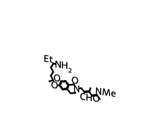 CCC(N)CCCC1(C)Oc2cc3c(cc2O1)C(=O)N(C/C(C=O)=C(C)/C=C(/C)NC)CC3